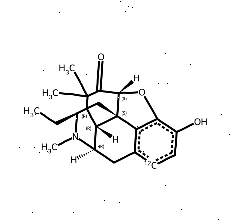 CC[C@@H]1[C@H]2[C@H]3Cc4[12cH]cc(O)c5c4[C@@]2(CCN3C)[C@@H](O5)C(=O)C1(C)C